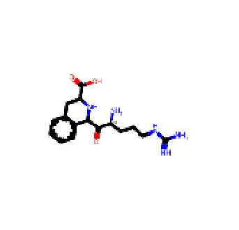 N=C(N)NCCC[C@H](N)C(=O)C1NC(C(=O)O)Cc2ccccc21